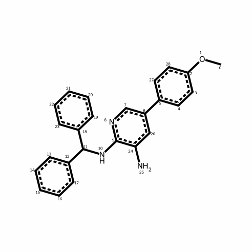 COc1ccc(-c2cnc(NC(c3ccccc3)c3ccccc3)c(N)c2)cc1